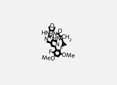 C=CC(=O)N[C@H]1COC[C@H]1Nc1ncc2cc(-c3c(F)c(OC)cc(OC)c3F)nc(NCC3CC3)c2n1